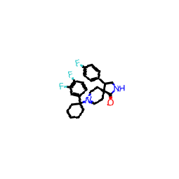 O=C1NCC(c2ccc(F)cc2)C12CCN(C1(c3ccc(F)c(F)c3)CCCCC1)CC2